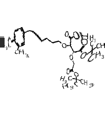 Cc1ccc(CCCCCO[C@@H](C(=O)O)[C@@H](OCC(=O)OC(C)(C)C)C(=O)OC(C)(C)C)cc1C